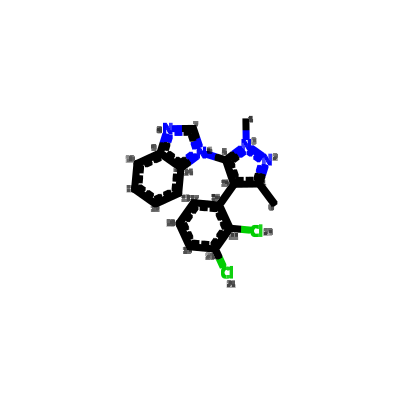 Cc1nn(C)c(-n2cnc3ccccc32)c1-c1cccc(Cl)c1Cl